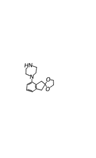 c1cc2c(c(N3CCNCC3)c1)CC1(C2)OCCO1